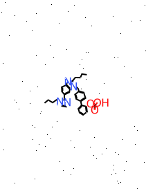 CCCCc1nc2ccc(-c3nccn3CCCC)cc2n1Cc1ccc(-c2ccccc2OC(=O)O)cc1